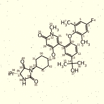 Cc1cc(F)cc(C)c1Oc1ccc(C(C)(C)O)cc1-c1cn(C)c(=O)cc1O[C@H]1CC[C@H](N2C(=O)N[C@H](C(C)C)C2=O)CC1